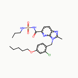 CCCCCOc1ccc(Cn2c(C)nc3ccc(C(=O)NS(=O)(=O)NCCC)nc32)c(Cl)c1